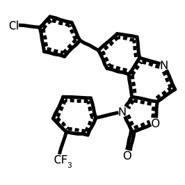 O=c1oc2cnc3ccc(-c4ccc(Cl)cc4)cc3c2n1-c1cccc(C(F)(F)F)c1